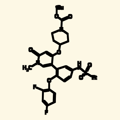 CCS(=O)(=O)Nc1ccc(Oc2ccc(F)cc2F)c(-c2cn(C)c(=O)cc2OC2CCN(C(=O)OC(C)(C)C)CC2)c1